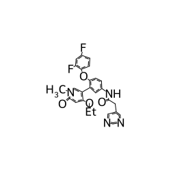 CCOc1cc(=O)n(C)cc1-c1cc(NC(=O)Cc2cncnc2)ccc1Oc1ccc(F)cc1F